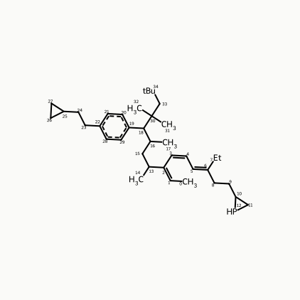 C\C=C(/C=C\C=C(/CC)CCC1CP1)C(C)CC(C)C(c1ccc(CCC2CC2)cc1)C(C)(C)CC(C)(C)C